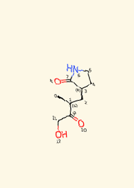 C[C@@H](C[C@@H]1CCNC1=O)C(=O)CO